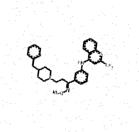 CO/N=C(\CCN1CCC(Cc2ccccc2)CC1)c1cccc(Nc2cc(C)nc3ccccc23)c1